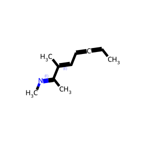 CC=C=C/C=C(C)/C(C)=N/C